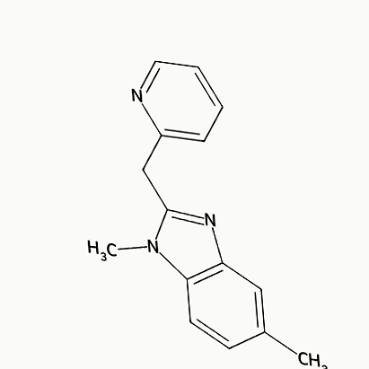 Cc1ccc2c(c1)nc(Cc1ccccn1)n2C